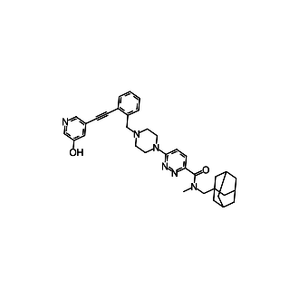 CN(CC12CC3CC(CC(C3)C1)C2)C(=O)c1ccc(N2CCN(Cc3ccccc3C#Cc3cncc(O)c3)CC2)nn1